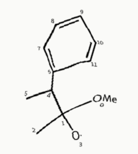 COC(C)([O])C(C)c1ccccc1